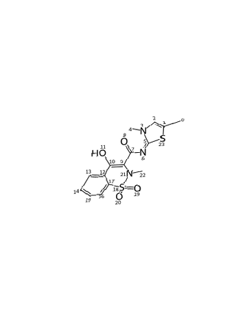 Cc1cn(C)c(=NC(=O)C2=C(O)c3ccccc3S(=O)(=O)N2C)s1